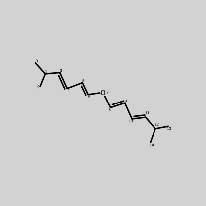 CC(C)C=CC=COC=CC=CC(C)C